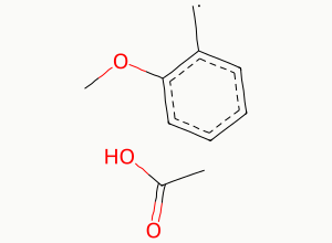 CC(=O)O.[CH2]c1ccccc1OC